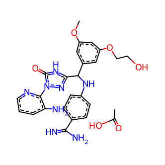 CC(=O)O.COc1cc(OCCO)cc(C(Nc2ccc(C(=N)N)cc2)c2nn(-c3ncccc3N)c(=O)[nH]2)c1